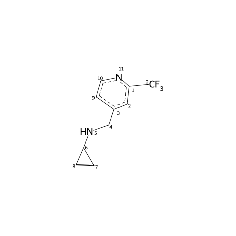 FC(F)(F)c1cc(CNC2CC2)ccn1